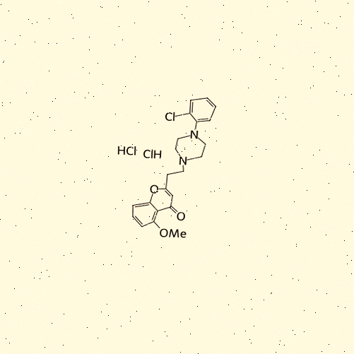 COc1cccc2oc(CCN3CCN(c4ccccc4Cl)CC3)cc(=O)c12.Cl.Cl